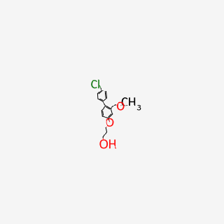 COCc1cc(OCCCO)ccc1-c1ccc(Cl)cc1